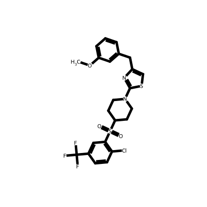 COc1cccc(Cc2csc(N3CCC(S(=O)(=O)c4cc(C(F)(F)F)ccc4Cl)CC3)n2)c1